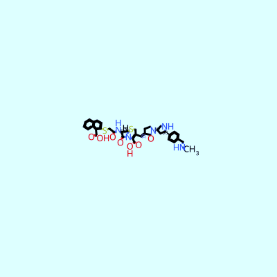 CNCc1ccc([C@H]2C[C@H](N3CC/C(=C\C4=C(C(=O)O)N5C(=O)[C@@H](NC(=O)CSc6ccc7ccccc7c6C(=O)O)[C@H]5SC4)C3=O)CN2)cc1